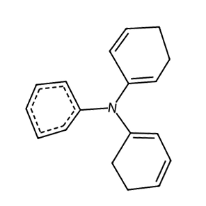 C1=CCCC(N(C2=CCCC=C2)c2ccccc2)=C1